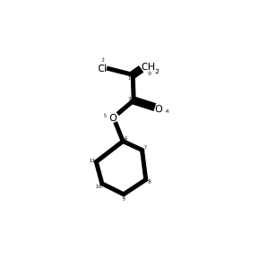 C=C(Cl)C(=O)OC1CCCCC1